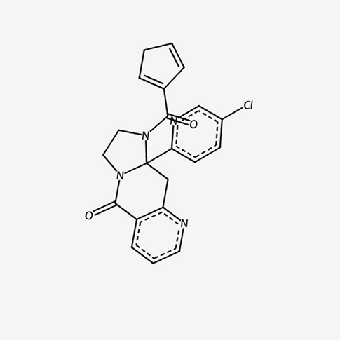 O=C(C1=CCC=C1)N1CCN2C(=O)c3cccnc3CC12c1ccc(Cl)cn1